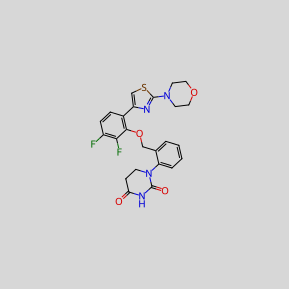 O=C1CCN(c2ccccc2COc2c(-c3csc(N4CCOCC4)n3)ccc(F)c2F)C(=O)N1